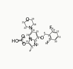 Cc1nc2c(OCc3c(F)cccc3F)cc(N3CCOCC3)cn2c1OC(=O)O